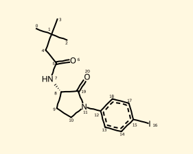 CC(C)(C)CC(=O)N[C@H]1CCN(c2ccc(I)cc2)C1=O